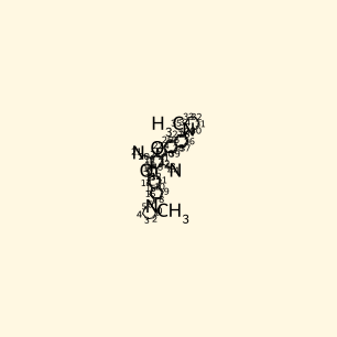 CC1CCCCN1c1ccc2cc3c(cc2c1)oc1c(C#N)c2oc4cc5cc(N6CCCCC6C)ccc5cc4c2c(C#N)c13